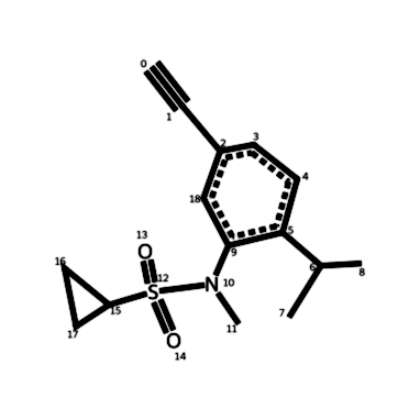 C#Cc1ccc(C(C)C)c(N(C)S(=O)(=O)C2CC2)c1